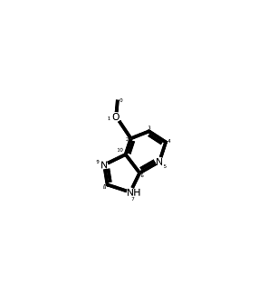 COc1ccnc2[nH][c]nc12